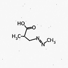 CN=NCC(C)C(=O)O